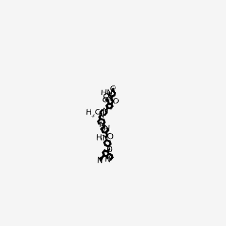 C[C@@H]1CN(c2ccc3c(c2)C(=O)N(C2CCC(=O)NC2=O)C3=O)CCN1CC1CCN(c2ccc(C(=O)N[C@H]3CC[C@H](Oc4ccc(C#N)c5ncccc45)CC3)cn2)CC1